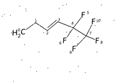 [CH2]CC=CC(F)(F)C(F)(F)F